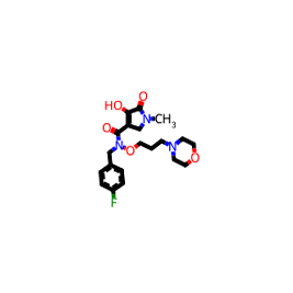 CN1CC(C(=O)N(Cc2ccc(F)cc2)OCCCN2CCOCC2)=C(O)C1=O